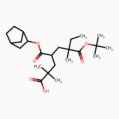 CCC(C)(CC(CC(C)(C)C(=O)O)C(=O)OC1CC2CCC1C2)C(=O)OC(C)(C)C